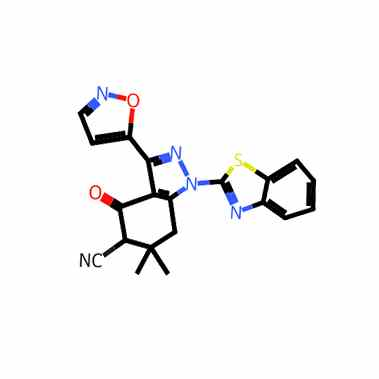 CC1(C)Cc2c(c(-c3ccno3)nn2-c2nc3ccccc3s2)C(=O)C1C#N